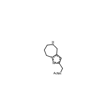 CC(=O)NCc1cc2n(n1)CCCNC2